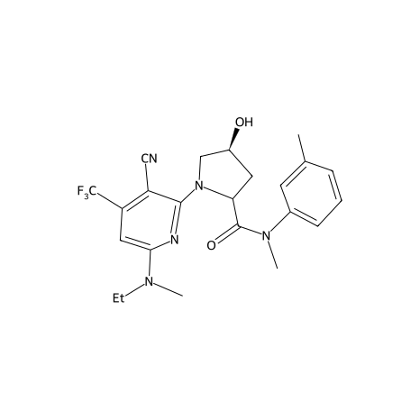 CCN(C)c1cc(C(F)(F)F)c(C#N)c(N2C[C@@H](O)CC2C(=O)N(C)c2cccc(C)c2)n1